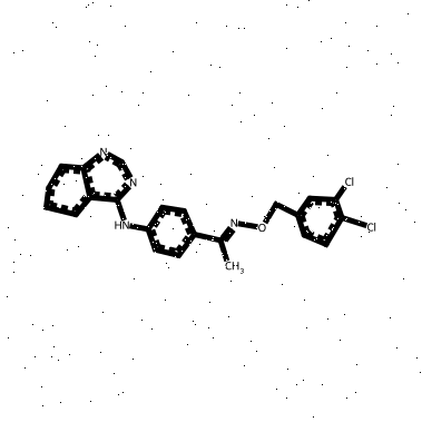 CC(=NOCc1ccc(Cl)c(Cl)c1)c1ccc(Nc2ncnc3ccccc23)cc1